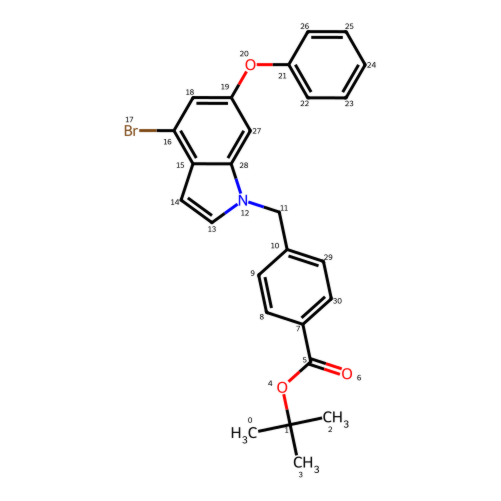 CC(C)(C)OC(=O)c1ccc(Cn2ccc3c(Br)cc(Oc4ccccc4)cc32)cc1